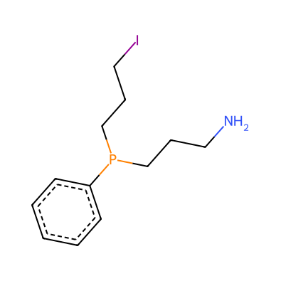 NCCCP(CCCI)c1ccccc1